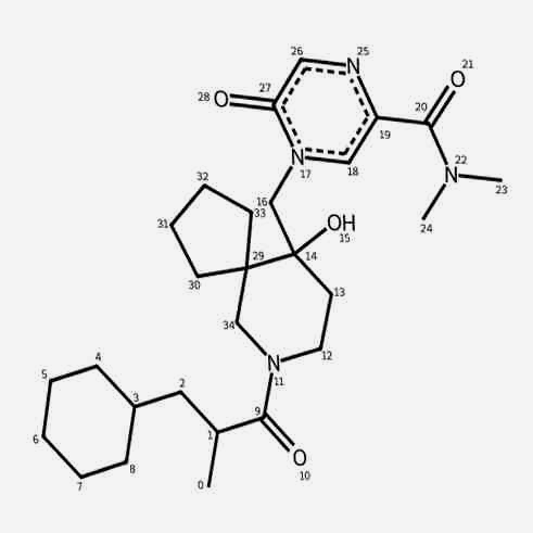 CC(CC1CCCCC1)C(=O)N1CCC(O)(Cn2cc(C(=O)N(C)C)ncc2=O)C2(CCCC2)C1